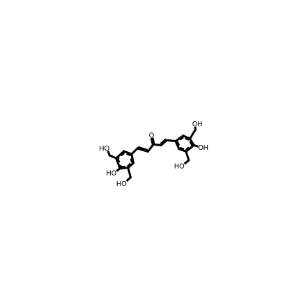 O=C(C=Cc1cc(CO)c(O)c(CO)c1)C=Cc1cc(CO)c(O)c(CO)c1